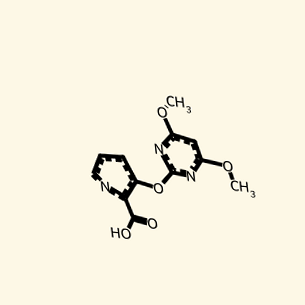 COc1cc(OC)nc(Oc2cccnc2C(=O)O)n1